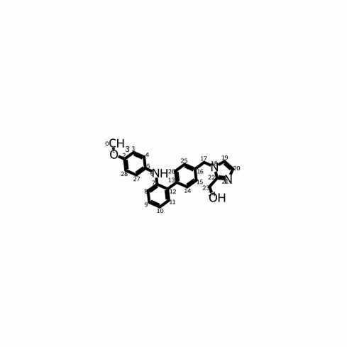 COc1ccc(Nc2ccccc2-c2ccc(Cn3ccnc3CO)cc2)cc1